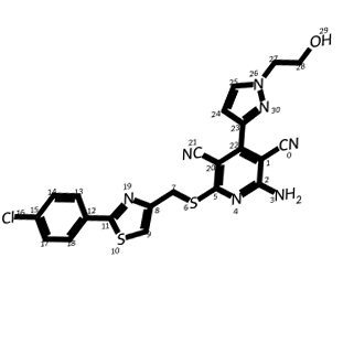 N#Cc1c(N)nc(SCc2csc(-c3ccc(Cl)cc3)n2)c(C#N)c1-c1ccn(CCO)n1